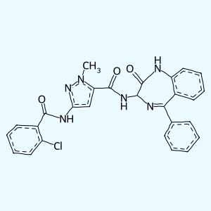 Cn1nc(NC(=O)c2ccccc2Cl)cc1C(=O)NC1N=C(c2ccccc2)c2ccccc2NC1=O